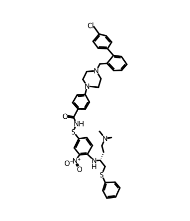 CN(C)CC[C@H](CSc1ccccc1)Nc1ccc(SNC(=O)c2ccc(N3CCN(Cc4ccccc4-c4ccc(Cl)cc4)CC3)cc2)cc1[N+](=O)[O-]